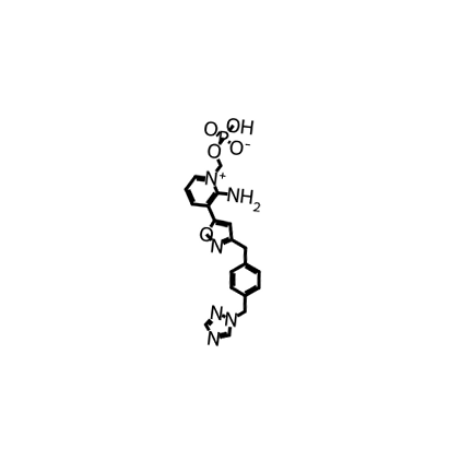 Nc1c(-c2cc(Cc3ccc(Cn4cncn4)cc3)no2)ccc[n+]1COP(=O)([O-])O